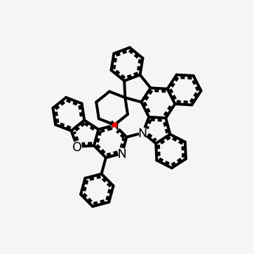 c1ccc(-c2nc(-n3c4ccccc4c4c5ccccc5c5c(c43)C3(CCCCC3)c3ccccc3-5)nc3c2oc2ccccc23)cc1